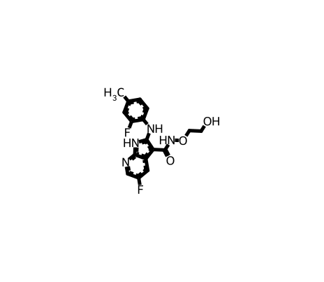 Cc1ccc(Nc2[nH]c3ncc(F)cc3c2C(=O)NOCCO)c(F)c1